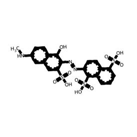 CNc1ccc2c(O)c(N=Nc3ccc4c(S(=O)(=O)O)cccc4c3S(=O)(=O)O)c(S(=O)(=O)O)cc2c1